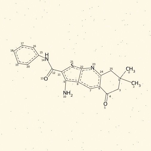 CC1(C)CC(=O)c2cc3c(N)c(C(=O)Nc4ccccc4)sc3nc2C1